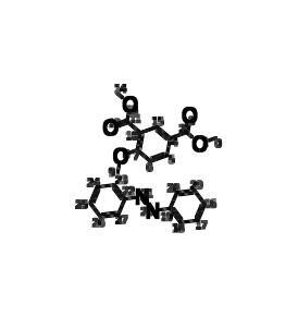 COC(=O)c1ccc(OC)c(C(=O)OC)c1.c1ccc(N=Nc2ccccc2)cc1